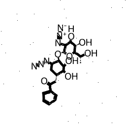 C[C@@H](O)C1O[C@H](O[C@@H]2C(N=[N+]=[N-])C[C@@H](CC(=O)c3ccccc3)C(O)C2O)C(N=[N+]=[N-])C(O)[C@@H]1O